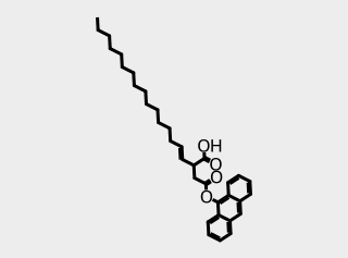 CCCCCCCCCCCCCCC=CC(CC(=O)Oc1c2ccccc2cc2ccccc12)C(=O)O